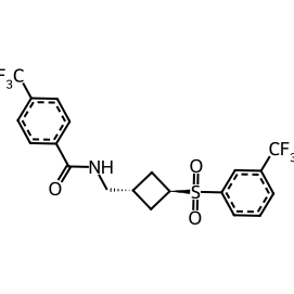 O=C(NC[C@H]1C[C@H](S(=O)(=O)c2cccc(C(F)(F)F)c2)C1)c1ccc(C(F)(F)F)cc1